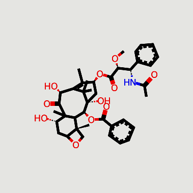 CO[C@@H](C(=O)O[C@H]1C[C@@]2(O)[C@@H](OC(=O)c3ccccc3)C3C(C)(C(=O)[C@H](O)C(=C1C)C2(C)C)[C@@H](O)CC1OC[C@]13C)[C@@H](NC(C)=O)c1ccccc1